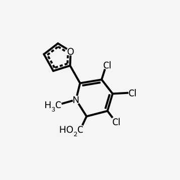 CN1C(c2ccco2)=C(Cl)C(Cl)=C(Cl)C1C(=O)O